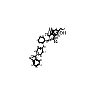 CC[C@]1(O)C[C@@H]2C[C@H]1[C@H]1C(=O)N(C[C@@H]3CCCC[C@H]3CN3CCN(c4nsc5ccccc45)CC3)C(=O)[C@@H]21